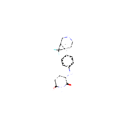 O=C1CC[C@@H](Nc2ccc([C@@]34CCNC[C@@H]3C4(F)F)cc2)C(=O)N1